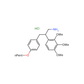 CCCCCOc1ccc(CC(CN)c2ccc(OC)c(OC)c2OC)cc1.Cl